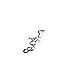 CN(CC1CCNN1C)C(=O)C1NNC2CCN(C(=O)C3Cc4ccccc4N3)CC21